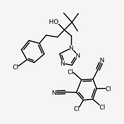 CC(C)(C)C(O)(CCc1ccc(Cl)cc1)Cn1cncn1.N#Cc1c(Cl)c(Cl)c(Cl)c(C#N)c1Cl